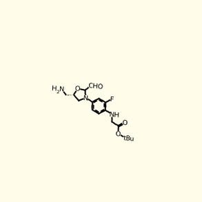 CC(C)(C)OC(=O)CNc1ccc(N2C[C@H](CN)OC2C=O)cc1F